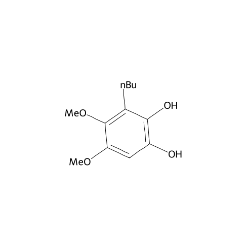 CCCCc1c(O)c(O)cc(OC)c1OC